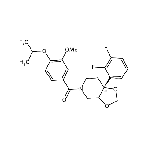 COc1cc(C(=O)N2CC[C@]3(c4cccc(F)c4F)OCOC3C2)ccc1OC(C)C(F)(F)F